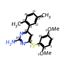 COc1ccc(OC)c(Sc2cc(-c3cc(C)ccc3C)nc(N)n2)c1